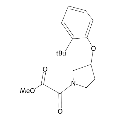 COC(=O)C(=O)N1CCC(Oc2ccccc2C(C)(C)C)C1